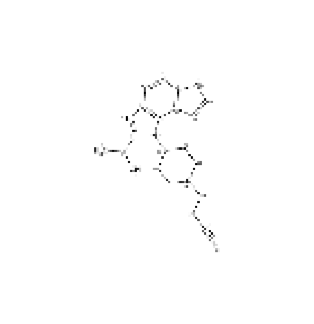 CC(O)c1nc2cnc3[nH]ccc3c2n1C1CCN(CCC#N)CC1